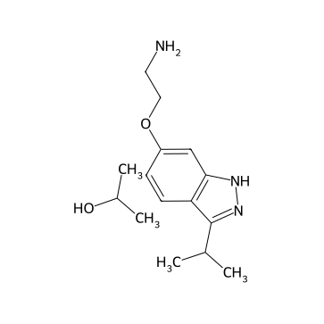 CC(C)O.CC(C)c1n[nH]c2cc(OCCN)ccc12